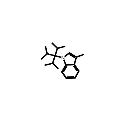 Cc1cn(C(C(C)C)(C(C)C)C(C)C)c2ccccc12